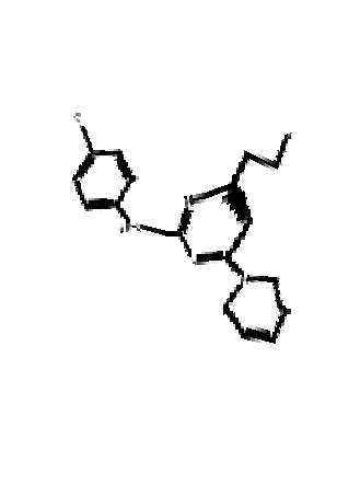 CCCc1cc(N2CC=CCC2)nc(Nc2ccc(F)cc2)n1